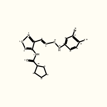 O=C(Nc1nonc1/C=N/ONc1ccc(F)c(Br)c1)C1CCCC1